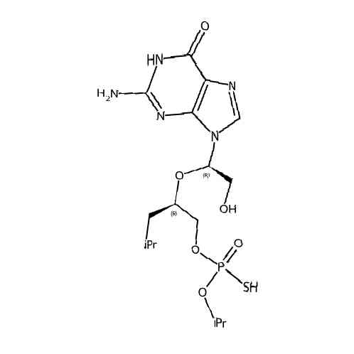 CC(C)C[C@H](COP(=O)(S)OC(C)C)O[C@H](CO)n1cnc2c(=O)[nH]c(N)nc21